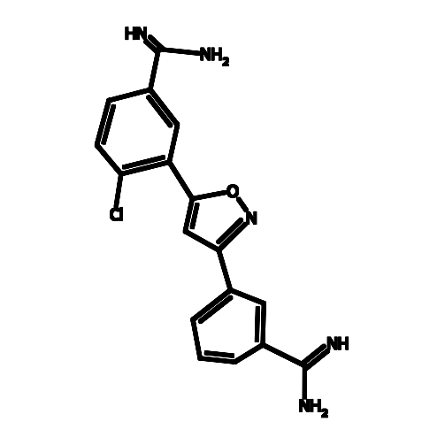 N=C(N)c1cccc(-c2cc(-c3cc(C(=N)N)ccc3Cl)on2)c1